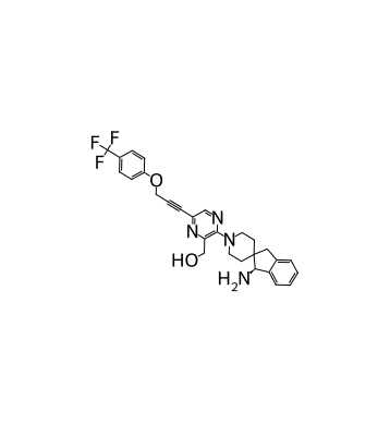 N[C@@H]1c2ccccc2CC12CCN(c1ncc(C#CCOc3ccc(C(F)(F)F)cc3)nc1CO)CC2